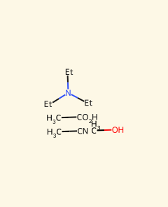 CC#N.CC(=O)O.CCN(CC)CC.CO